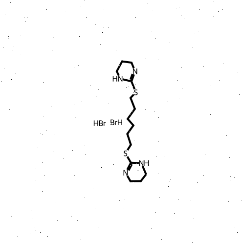 Br.Br.C(CCCSC1=NCCCN1)CCSC1=NCCCN1